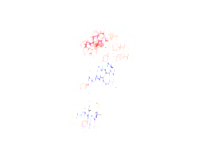 Nc1ncnc2c1ncn2[C@@H]1O[C@H](COP(=O)(O)OP(=O)(O)OP(=O)(O)OC(=O)CCCCCNC(=O)CCCC[C@@H]2SC[C@@H]3NC(=O)N[C@@H]32)C(O)C1O